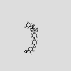 O=S(=O)(NS(=O)(=O)N1CCC(N2CCC(Oc3ccc(Cl)c(Cl)c3)CC2)CC1)c1ccccc1